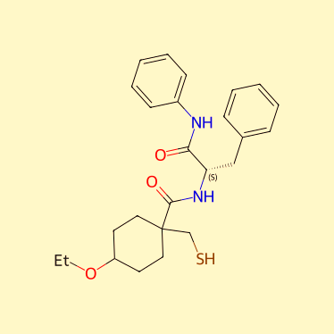 CCOC1CCC(CS)(C(=O)N[C@@H](Cc2ccccc2)C(=O)Nc2ccccc2)CC1